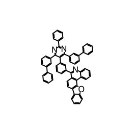 c1ccc(-c2cccc(-c3nc(-c4ccccc4)nc(-c4cccc(-c5ccccc5)c4)c3-c3cccc(-c4nc5ccccc5c5c4ccc4c6ccccc6oc45)c3)c2)cc1